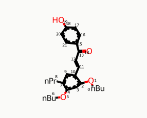 CCCCOc1cc(OCCCC)c(CCC)cc1C=CC(=O)c1ccc(O)cc1